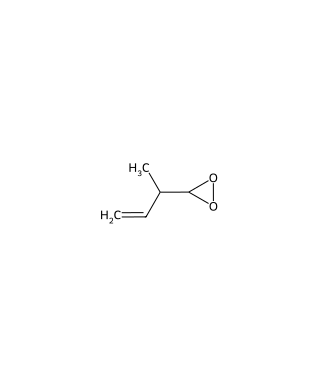 C=CC(C)C1OO1